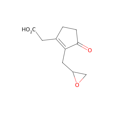 O=C(O)CC1=C(CC2CO2)C(=O)CC1